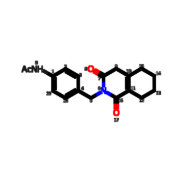 CC(=O)Nc1ccc(CN2C(=O)CC3=C(CCCC3)C2=O)cc1